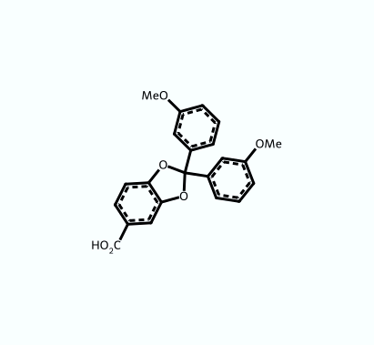 COc1cccc(C2(c3cccc(OC)c3)Oc3ccc(C(=O)O)cc3O2)c1